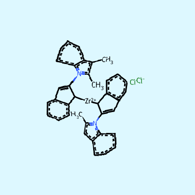 Cc1c(C)n(C2=Cc3ccccc3[CH]2[Zr+2][CH]2C(n3c(C)cc4ccccc43)=Cc3ccccc32)c2ccccc12.[Cl-].[Cl-]